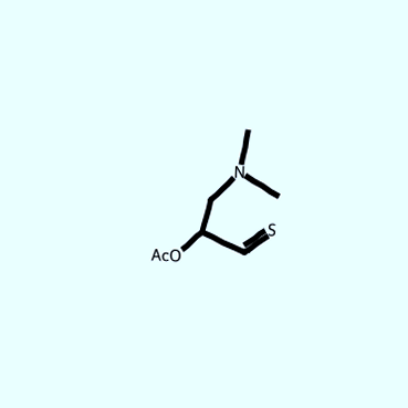 CC(=O)OC([C]=S)CN(C)C